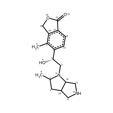 Cc1c([C@@H](O)CN2C(C)CC3CNCC32)ccc2c1COC2=O